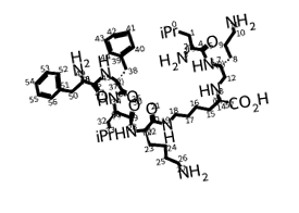 CC(C)C[C@@H](N)C(=O)N[C@H](CCCN)CN[C@H](CCCCNC(=O)[C@@H](CCCCN)NC(=O)[C@@H](CC(C)C)NC(=O)[C@@H](Cc1ccccc1)NC(=O)[C@H](N)Cc1ccccc1)C(=O)O